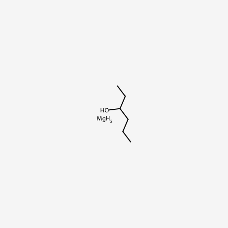 CCCC(O)CC.[MgH2]